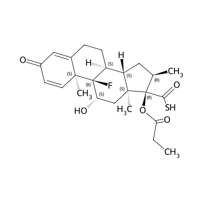 CCC(=O)O[C@]1(C(=O)S)[C@H](C)C[C@H]2[C@@H]3CCC4=CC(=O)C=C[C@]4(C)[C@@]3(F)[C@@H](O)C[C@@]21C